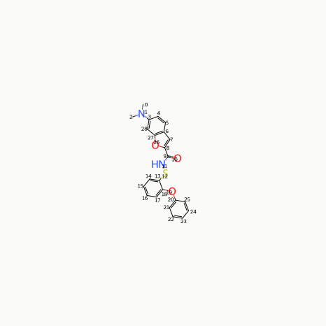 CN(C)c1ccc2cc(C(=O)NSc3ccccc3Oc3ccccc3)oc2c1